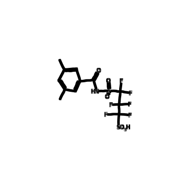 Cc1cc(C)cc(C(=O)NS(=O)(=O)C(F)(F)C(F)(F)C(F)(F)S(=O)(=O)O)c1